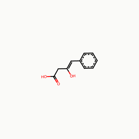 O=C(O)C/C(O)=C/c1ccccc1